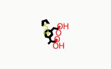 CC(C(=O)O)c1ccc([SH]2C=CC=C2)c(CC(=O)O)c1